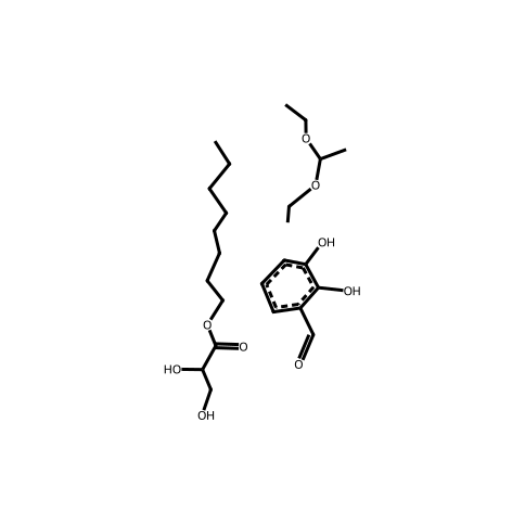 CCCCCCCCOC(=O)C(O)CO.CCOC(C)OCC.O=Cc1cccc(O)c1O